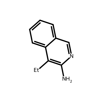 CCc1c(N)ncc2ccccc12